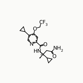 C[C@](CC(N)=O)(NC(=O)c1cc(OCC(F)(F)F)c(C2CC2)cn1)C1CC1